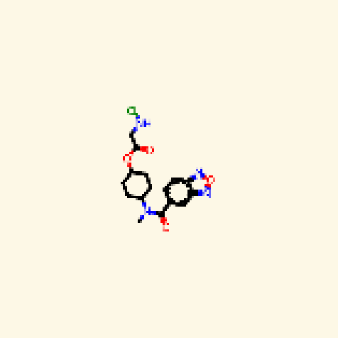 CN(C(=O)c1ccc2nonc2c1)C1CCC(OC(=O)CNCl)CC1